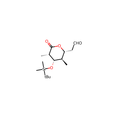 C[C@H]1[C@H](O[Si](C)(C)C(C)(C)C)[C@H](C)C(=O)O[C@@H]1CC=O